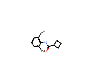 Cc1cccc(C(C)C)c1NC(=O)C1CCC1